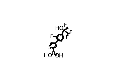 OB(O)c1cc(-c2ccc(C(O)(CF)C(F)F)cc2F)cs1